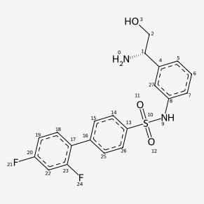 N[C@H](CO)c1cccc(NS(=O)(=O)c2ccc(-c3ccc(F)cc3F)cc2)c1